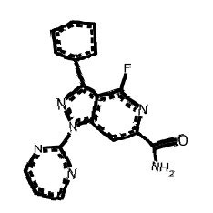 NC(=O)c1cc2c(c(F)n1)c(-c1ccccc1)nn2-c1ncccn1